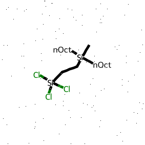 CCCCCCCC[Si](C)(CCCCCCCC)CC[Si](Cl)(Cl)Cl